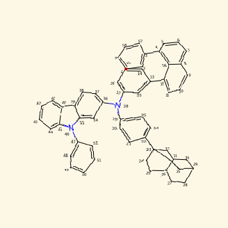 c1ccc(-c2cccc3cccc(-c4cccc(N(c5ccc(C67CCC8CCC(CC8C6)C7)cc5)c5ccc6c7ccccc7n(-c7ccccc7)c6c5)c4)c23)cc1